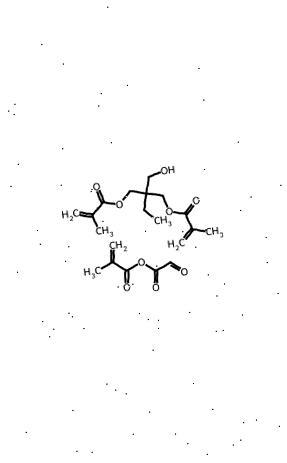 C=C(C)C(=O)OC(=O)C=O.C=C(C)C(=O)OCC(CC)(CO)COC(=O)C(=C)C